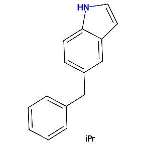 [CH2][C@H](C)c1ccccc1Cc1ccc2[nH]ccc2c1